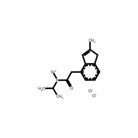 CC1=Cc2c(CC(=O)[N]([Ti+2])C(C)C)cccc2C1.[Cl-].[Cl-]